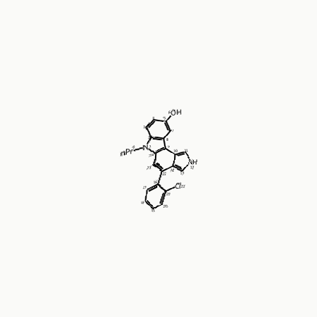 CCCn1c2ccc(O)cc2c2c3c[nH]cc3c(-c3ccccc3Cl)cc21